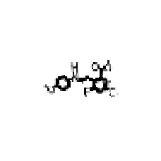 COC(=O)c1[c]c(Cl)cc(F)c1C=CNc1ccc(OC)cc1